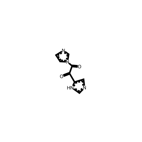 O=C(C(=O)n1ccnc1)c1cnc[nH]1